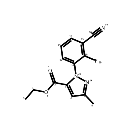 CCOC(=O)c1cc(C)nn1-c1cccc(C#N)c1F